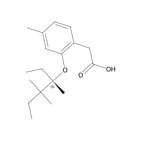 CCC(C)(C)[C@](C)(CC)Oc1cc(C)ccc1CC(=O)O